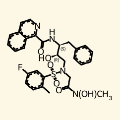 Cc1ccc(F)cc1S(=O)(=O)N(CC(=O)N(C)O)C[C@@H](O)[C@H](Cc1ccccc1)NC(=O)c1nccc2ccccc12